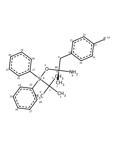 CC(C)(C)[Si](O[C@@](C)(N)Cc1ccc(F)cc1)(c1ccccc1)c1ccccc1